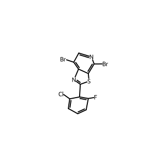 Fc1cccc(Cl)c1-c1nc2c(Br)cnc(Br)c2s1